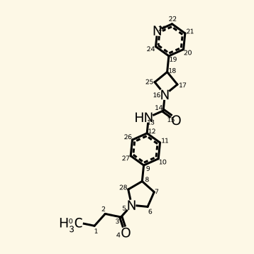 CCCC(=O)N1CCC(c2ccc(NC(=O)N3CC(c4cccnc4)C3)cc2)C1